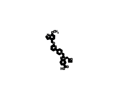 COc1ccc(COc2cccc(C3CCN(Cc4nc5ccc(C(=O)O)cc5n4C[C@@H]4CCO4)CC3)n2)c2ccnn12